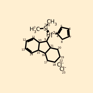 C[Si](C)=[Hf+2]([C]1=CC=CC1)[CH]1C2C=CC=CC2C2CCCCC21.[Cl-].[Cl-]